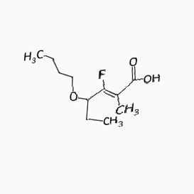 CCCCOC(CC)C(F)=C(C)C(=O)O